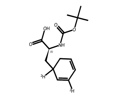 [2H]C1=CC([2H])(C[C@H](NC(=O)OC(C)(C)C)C(=O)O)CC=C1